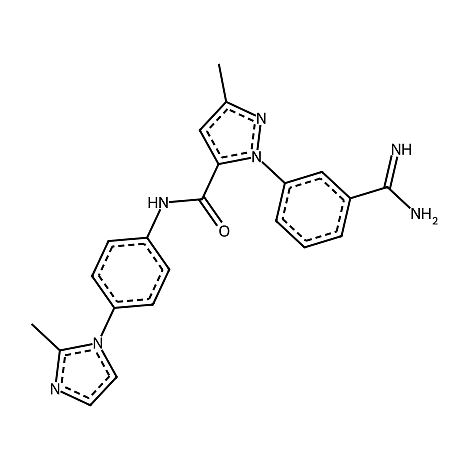 Cc1cc(C(=O)Nc2ccc(-n3ccnc3C)cc2)n(-c2cccc(C(=N)N)c2)n1